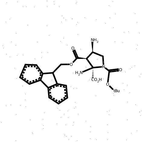 CC(C)(C)OC(=O)N1C[C@H](N)[C@H](C(=O)OCC2c3ccccc3-c3ccccc32)[C@@]1(N)C(=O)O